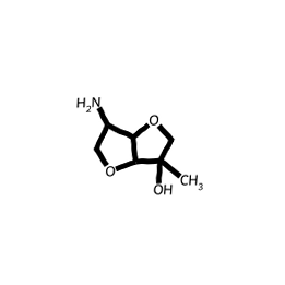 CC1(O)COC2C(N)COC21